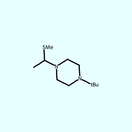 CSC(C)N1CCN(C(C)(C)C)CC1